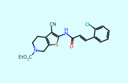 CCOC(=O)N1CCc2c(sc(NC(=O)C=Cc3ccccc3Cl)c2C#N)C1